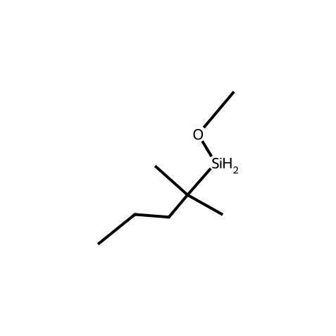 CCCC(C)(C)[SiH2]OC